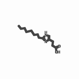 CCCCCCCCc1nc(CCC(=O)O)c[nH]1